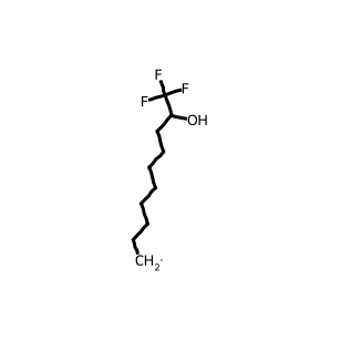 [CH2]CCCCCCCC(O)C(F)(F)F